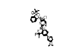 CN(C)[C@H]1CCN(c2ccc(Nc3ncc(Cl)c(Nc4ccccc4S(=O)(=O)N(C)C)n3)c(C(F)(F)F)c2)C1